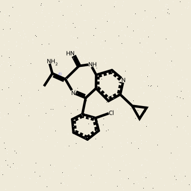 C/C(N)=C1\N=C(c2ccccc2Cl)c2cc(C3CC3)ncc2NC1=N